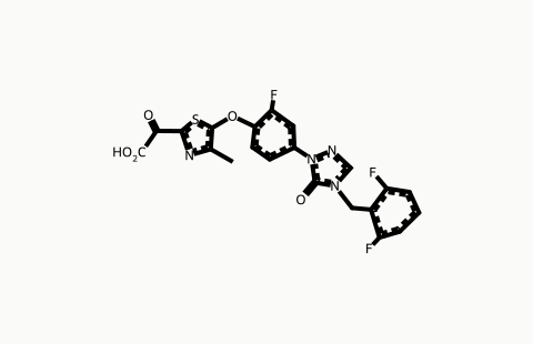 Cc1nc(C(=O)C(=O)O)sc1Oc1ccc(-n2ncn(Cc3c(F)cccc3F)c2=O)cc1F